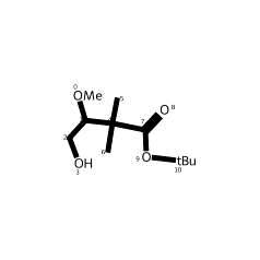 COC(CO)C(C)(C)C(=O)OC(C)(C)C